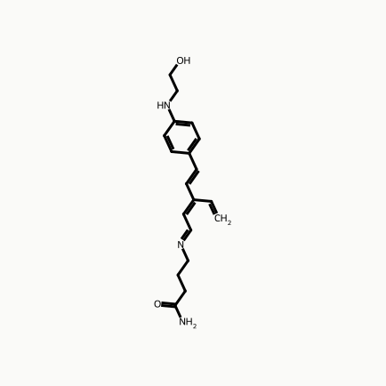 C=CC(/C=C/c1ccc(NCCO)cc1)=C\C=N\CCCC(N)=O